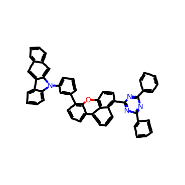 c1ccc(-c2nc(-c3ccccc3)nc(-c3ccc4c5c(cccc35)-c3cccc(-c5cccc(-n6c7ccccc7c7cc8ccccc8cc76)c5)c3O4)n2)cc1